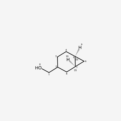 OCC1CC[C@H]2C[C@H]2C1